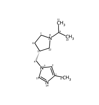 Cc1cn(C[C@@H]2CCN(C(C)C)C2)cn1